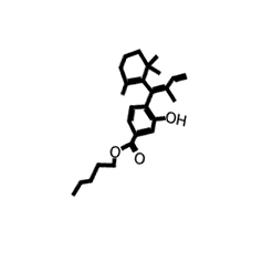 C=CC(C)=C(C1=C(C)CCCC1(C)C)c1ccc(C(=O)OCCCCC)cc1O